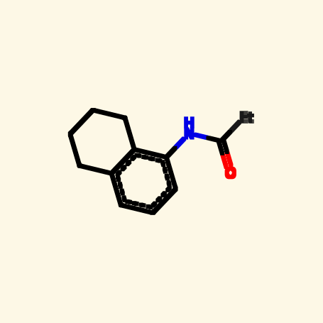 CCC(=O)Nc1cccc2c1CCCC2